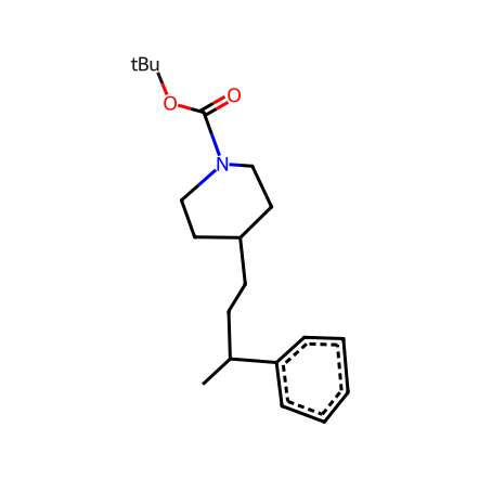 CC(CCC1CCN(C(=O)OC(C)(C)C)CC1)c1ccccc1